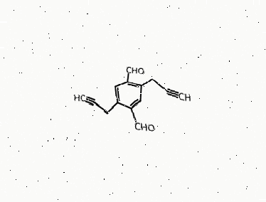 C#CCc1cc(C=O)c(CC#C)cc1C=O